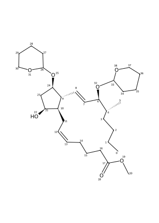 CCCC[C@@H](C)[C@@H](/C=C/[C@@H]1[C@@H](C/C=C\CCCC(=O)OC)[C@@H](O)C[C@H]1OC1CCCCO1)OC1CCCCO1